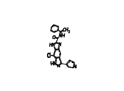 C[C@@H](NC(=O)c1nc2cc3c(-c4ccncc4)n[nH]c3c(Cl)c2[nH]1)c1ccccc1